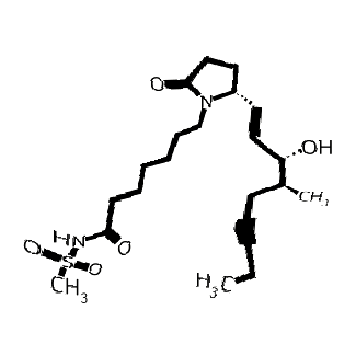 CCC#CC[C@H](C)[C@@H](O)C=C[C@H]1CCC(=O)N1CCCCCCC(=O)NS(C)(=O)=O